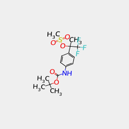 CC(C)(C)OC(=O)Nc1ccc(C(C)(OS(C)(=O)=O)C(F)(F)F)cc1